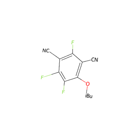 CCC(C)Oc1c(F)c(F)c(C#N)c(F)c1C#N